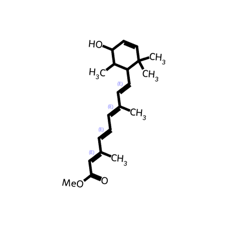 COC(=O)/C=C(C)/C=C/C=C(C)/C=C/C1C(C)C(O)C=CC1(C)C